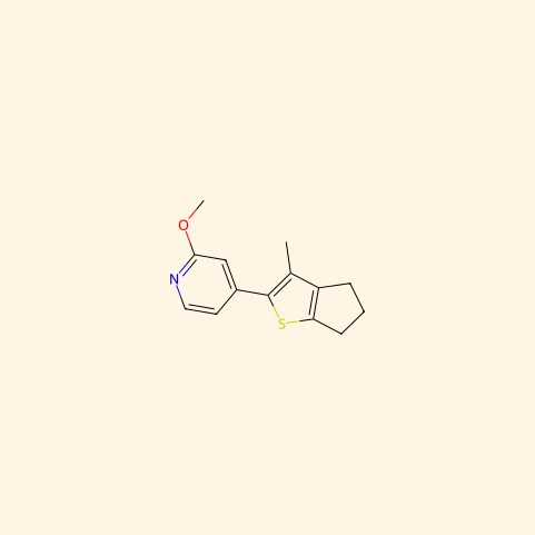 COc1cc(-c2sc3c(c2C)CCC3)ccn1